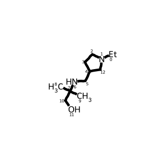 CCN1CCC(CNC(C)(C)CO)C1